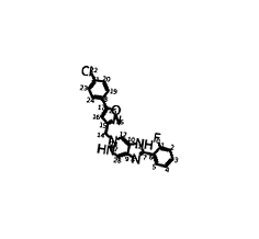 Fc1ccccc1-c1nc2c([nH]1)=CN(Cc1cc(-c3ccc(Cl)cc3)on1)NC=2